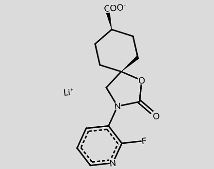 O=C1O[C@]2(CC[C@H](C(=O)[O-])CC2)CN1c1cccnc1F.[Li+]